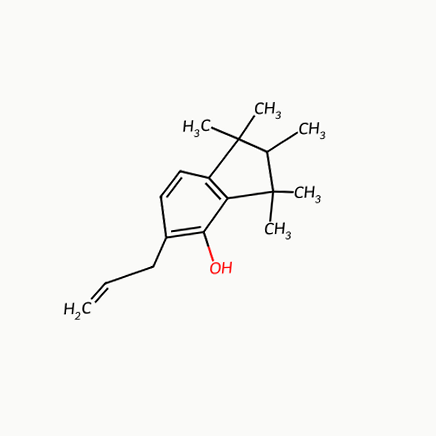 C=CCc1ccc2c(c1O)C(C)(C)C(C)C2(C)C